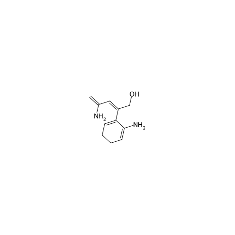 C=C(N)/C=C(/CO)C1=CCCC=C1N